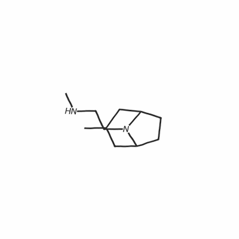 CNCCN1C2CCC1CC(C)C2